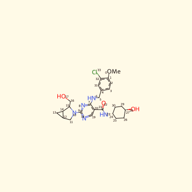 COc1ccc(CNc2nc(N3CC4CC4C3CO)ncc2C(=O)N[C@H]2CC[C@H](O)CC2)cc1Cl